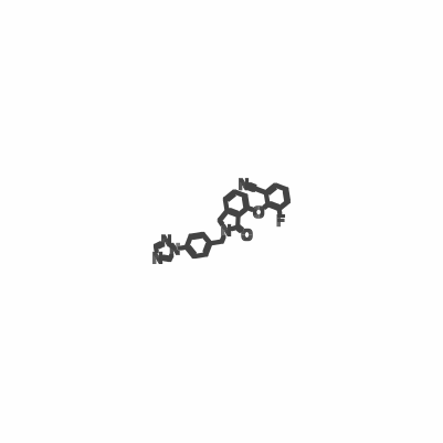 N#Cc1cccc(F)c1Oc1cccc2c1C(=O)N(Cc1ccc(-n3cncn3)cc1)C2